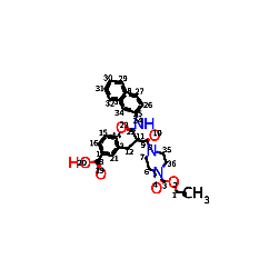 CCOC(=O)N1CCN(C(=O)C(Cc2cccc(C(=O)O)c2)C(=O)Nc2ccc3ccccc3c2)CC1